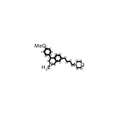 COc1ccc(C2CN(C)Cc3cc(CCCCN4CCOCC4)ccc32)cc1